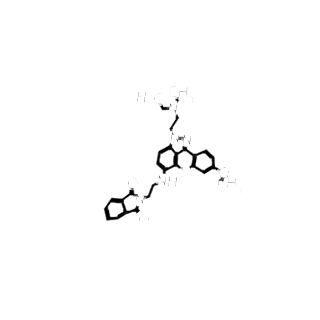 CCN(CC)CCn1nc2c3c(c(NCCN4C(=O)c5ccccc5C4=O)ccc31)Sc1cc(OC)ccc1-2